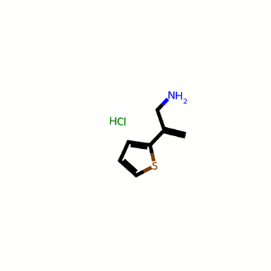 C=C(CN)c1cccs1.Cl